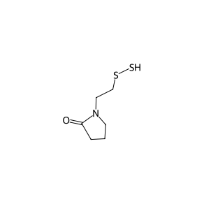 O=C1CCCN1CCSS